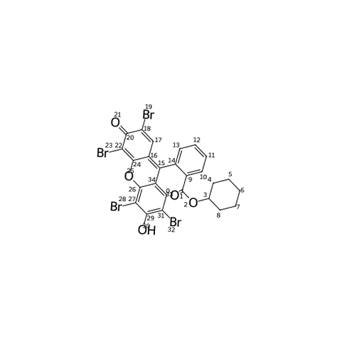 O=C(OC1CCCCC1)c1ccccc1-c1c2cc(Br)c(=O)c(Br)c-2oc2c(Br)c(O)c(Br)cc12